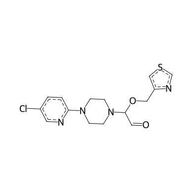 O=CC(OCc1cscn1)N1CCN(c2ccc(Cl)cn2)CC1